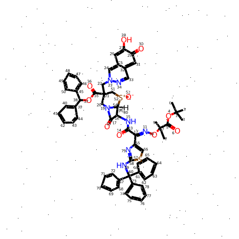 CC(C)(C)OC(=O)C(C)(C)ON=C(C(=O)NC1C(=O)N2CC(Cn3cc4cc(O)c(=O)cc-4cn3)(C(=O)OC(c3ccccc3)c3ccccc3)C[S+]([O-])[C@H]12)c1csc(NC(c2ccccc2)(c2ccccc2)c2ccccc2)n1